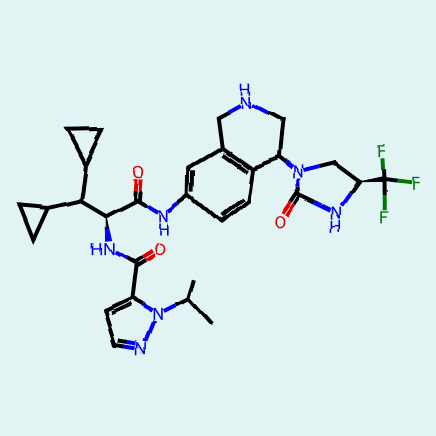 CC(C)n1nccc1C(=O)N[C@H](C(=O)Nc1ccc2c(c1)CNCC2N1C[C@@H](C(F)(F)F)NC1=O)C(C1CC1)C1CC1